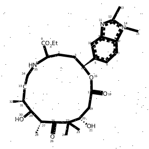 CCOC(=O)C1CC[C@@H](c2ccc3c(c2)nc(C)n3C)OC(=O)C[C@H](O)C(C)(C)C(=O)[C@H](C)C(O)[C@@H](C)CCN1